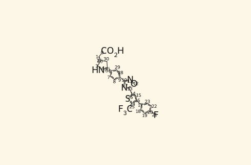 O=C(O)C[C@@H]1CN[C@@H](c2ccc(-c3noc(-c4cc(-c5ccc(F)cc5)c(C(F)(F)F)s4)n3)cc2)C1